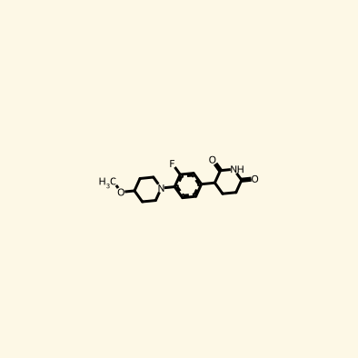 COC1CCN(c2ccc(C3CCC(=O)NC3=O)cc2F)CC1